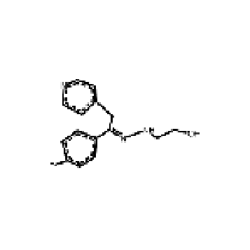 OCCN/N=C(\Cc1ccncc1)c1ccc(F)cc1